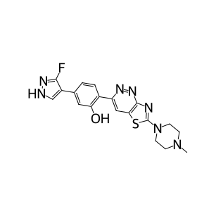 CN1CCN(c2nc3nnc(-c4ccc(-c5c[nH]nc5F)cc4O)cc3s2)CC1